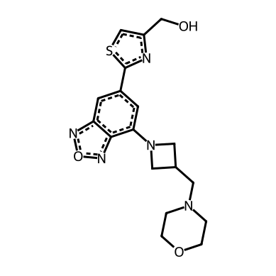 OCc1csc(-c2cc(N3CC(CN4CCOCC4)C3)c3nonc3c2)n1